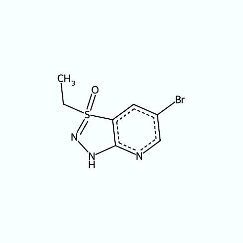 CCS1(=O)=NNc2ncc(Br)cc21